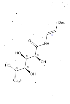 CCCCCCCCCC/C=C/NC(=O)[C@@H](O)[C@H](O)[C@@H](O)[C@@H](O)C(=O)O